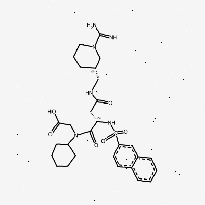 N=C(N)N1CCC[C@@H](CNC(=O)C[C@H](NS(=O)(=O)c2ccc3ccccc3c2)C(=O)N(CC(=O)O)C2CCCCC2)C1